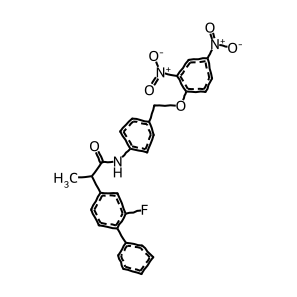 CC(C(=O)Nc1ccc(COc2ccc([N+](=O)[O-])cc2[N+](=O)[O-])cc1)c1ccc(-c2ccccc2)c(F)c1